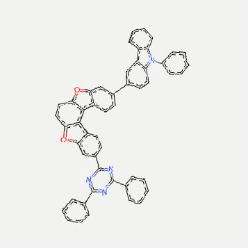 c1ccc(-c2nc(-c3ccccc3)nc(-c3ccc4c(c3)oc3ccc5oc6cc(-c7ccc8c(c7)c7ccccc7n8-c7ccccc7)ccc6c5c34)n2)cc1